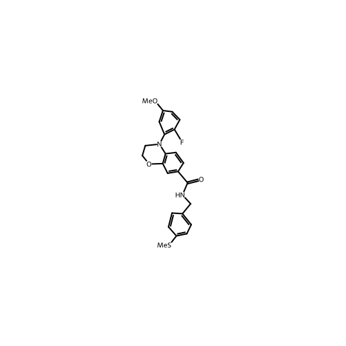 COc1ccc(F)c(N2CCOc3cc(C(=O)NCc4ccc(SC)cc4)ccc32)c1